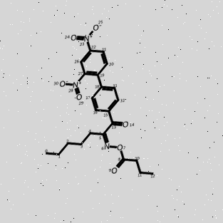 CCCCC/C(=N/OC(=O)CCC)C(=O)c1ccc(-c2ccc([N+](=O)[O-])cc2[N+](=O)[O-])cc1